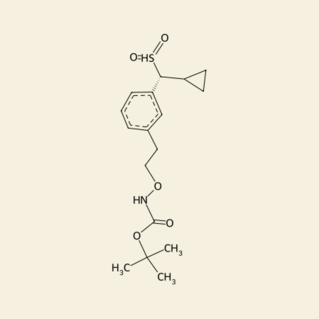 CC(C)(C)OC(=O)NOCCc1cccc([C@@H](C2CC2)[SH](=O)=O)c1